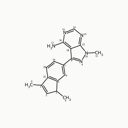 CC1=CC(C)c2cc(-c3nn(C)c4ncnc(N)c34)ccc21